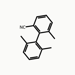 Cc1cccc(C)c1-c1c(C)cccc1C#N